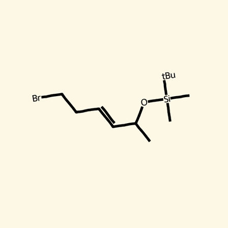 CC(/C=C/CCBr)O[Si](C)(C)C(C)(C)C